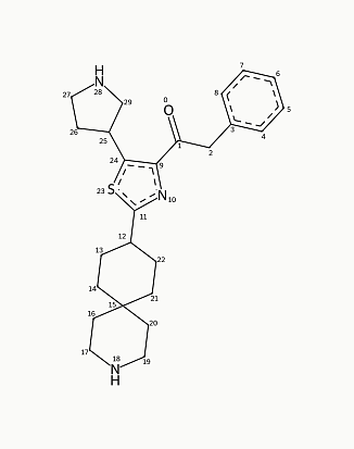 O=C(Cc1ccccc1)c1nc(C2CCC3(CCNCC3)CC2)sc1C1CCNC1